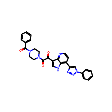 O=C(C(=O)N1CCN(C(=O)c2ccccc2)CC1)c1c[nH]c2c(-c3cn(-c4ccccc4)nn3)ccnc12